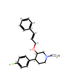 O=C(O)N1CCC(c2ccc(F)cc2)C(OCC=Cc2ccccc2)C1